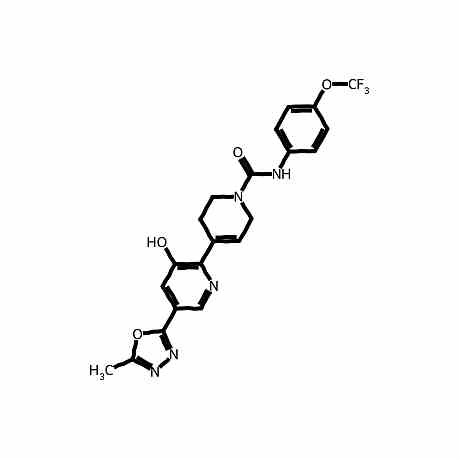 Cc1nnc(-c2cnc(C3=CCN(C(=O)Nc4ccc(OC(F)(F)F)cc4)CC3)c(O)c2)o1